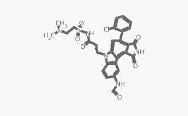 CN(C)CCS(=O)(=O)NC(=O)CCn1c2ccc(NC=O)cc2c2c3c(c(-c4ccccc4Cl)cc21)C(=O)NC3=O